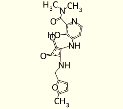 Cc1ccc(CNc2c(Nc3ccnc(C(=O)N(C)C)c3O)c(=O)c2=O)o1